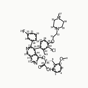 COc1ccccc1C[C@@H](Oc1nsc2cnc(-c3cccc(F)c3)c(-c3ccc(OCCN4CCN(C)CC4)c(Cl)c3C)c12)C(=O)O